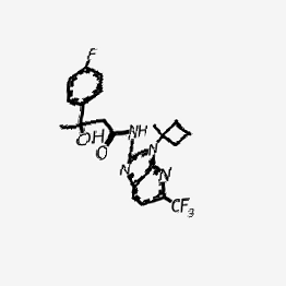 CC(O)(CC(=O)Nc1nc2ccc(C(F)(F)F)nc2n1C1(C)CCC1)c1ccc(F)cc1